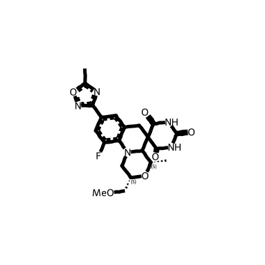 COC[C@@H]1CN2c3c(F)cc(-c4noc(C)n4)cc3CC3(C(=O)NC(=O)NC3=O)C2[C@H](C)O1